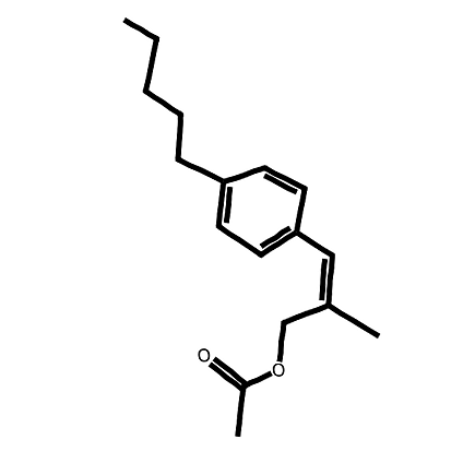 CCCCCc1ccc(C=C(C)COC(C)=O)cc1